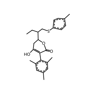 CCC(CSc1ccc(C)cc1)C1CC(O)=C(c2c(C)cc(C)cc2C)C(=O)O1